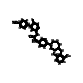 Cc1ccc(OC(=O)Nc2ccc(N3CCCN(Cc4c(F)cccc4F)CC3)nc2)cc1-c1ccc(C#N)cc1